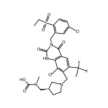 CCS(=O)(=O)c1ccc(Cl)cc1Cn1c(=O)[nH]c2c(Cl)c(CN3CC[C@@H](CN(C)C(=O)O)C3)c(C(F)(F)F)cc2c1=O